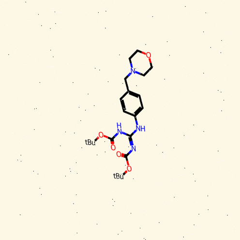 CC(C)(C)OC(=O)/N=C(\NC(=O)OC(C)(C)C)Nc1ccc(CN2CCOCC2)cc1